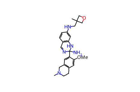 COc1cc2c(cc1C1(N)N=Cc3ccc(NCC4(C)COC4)cc3N1)CN(C)CC2